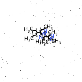 CCCC(CCC)c1cc(C)nn2c(-c3c(C)nn(C)c3C)c(C)nc12